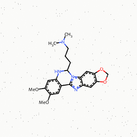 COc1cc2c(cc1OC)-c1nc3cc4c(cc3n1C(CCCN(C)C)N2)OCO4